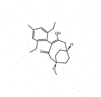 CCc1cc(C)cc(CC)c1/C1=C(\O)C[C@H]2CC[C@](OC)(CC2)CC1=O